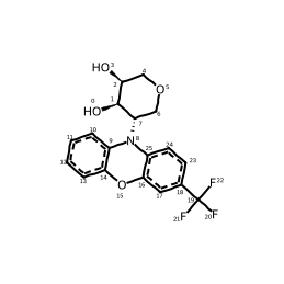 O[C@H]1[C@@H](O)COC[C@@H]1N1c2ccccc2Oc2cc(C(F)(F)F)ccc21